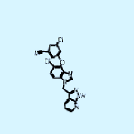 N#Cc1cc(Cl)cc(Oc2c(Cl)ccc3c2ncn3Cc2n[nH]c3ncccc23)c1